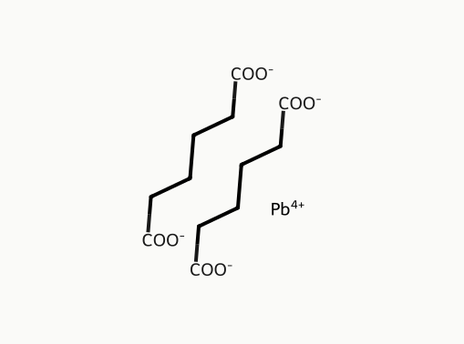 O=C([O-])CCCCC(=O)[O-].O=C([O-])CCCCC(=O)[O-].[Pb+4]